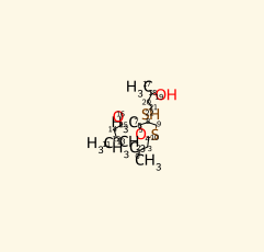 CC(C)CC1OC(C)CCS1.CC(C)CC=O.CC(O)CCS